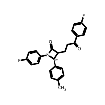 Cc1ccc([C@@H]2C(CCC(=O)c3ccc(F)cc3)C(=O)N2c2ccc(F)cc2)cc1